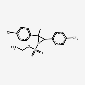 CC1(c2ccc(Cl)cc2)C(c2ccc(C(F)(F)F)cc2)N1S(=O)(=O)OCC(Cl)(Cl)Cl